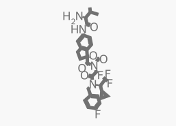 CC(C)[C@H](N)C(=O)Nc1ccc2c(c1)CCC21OC(=O)N(CC(=O)N(Cc2ccc(F)cc2)[C@H](C2CC2)C(F)(F)F)C1=O